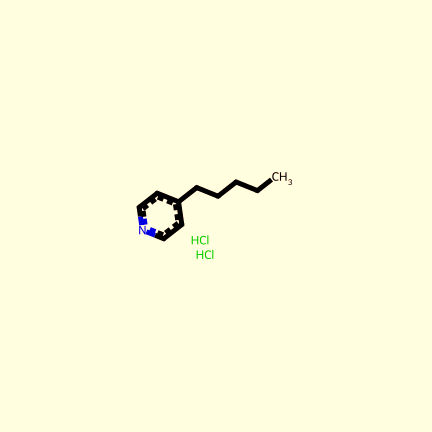 CCCCCc1ccncc1.Cl.Cl